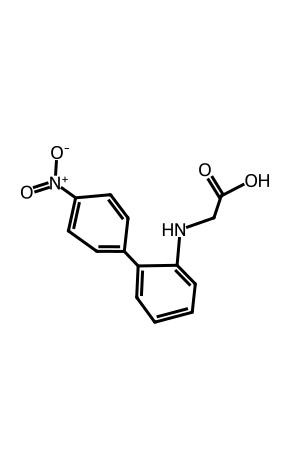 O=C(O)CNc1ccccc1-c1ccc([N+](=O)[O-])cc1